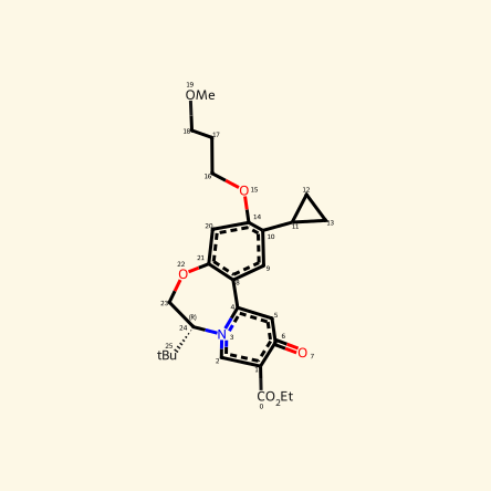 CCOC(=O)c1cn2c(cc1=O)-c1cc(C3CC3)c(OCCCOC)cc1OC[C@H]2C(C)(C)C